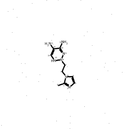 Cc1nccn1CCN1N=C(N)C(N)=CN1